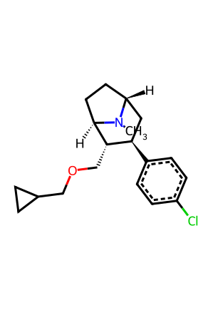 CN1[C@@H]2CC[C@@H]1[C@@H](COCC1CC1)[C@H](c1ccc(Cl)cc1)C2